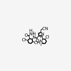 Cc1ccc(Cl)c(C(N)=O)c1NC(=O)c1cc(CC#N)nn1-c1ncccc1Cl